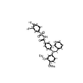 CCOc1cc(N(Cc2cccnc2)c2ccc(C(=O)NS(=O)(=O)c3ccc(F)c(F)c3)cc2)ccc1OC